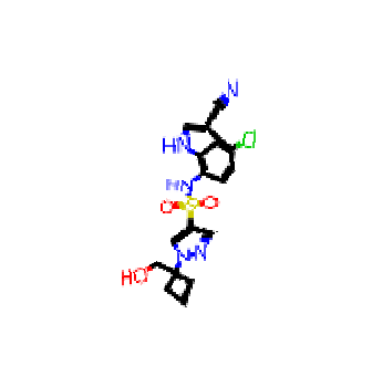 N#Cc1c[nH]c2c(NS(=O)(=O)c3cnn(C4(CO)CCC4)c3)ccc(Cl)c12